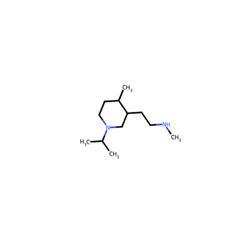 CNCCC1CN(C(C)C)CCC1C